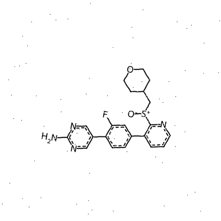 Nc1ncc(-c2ccc(-c3cccnc3[S+]([O-])CC3CCOCC3)cc2F)cn1